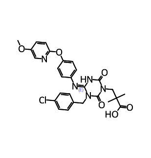 COc1ccc(Oc2ccc(/N=c3\[nH]c(=O)n(CC(C)(C)C(=O)O)c(=O)n3Cc3ccc(Cl)cc3)cc2)nc1